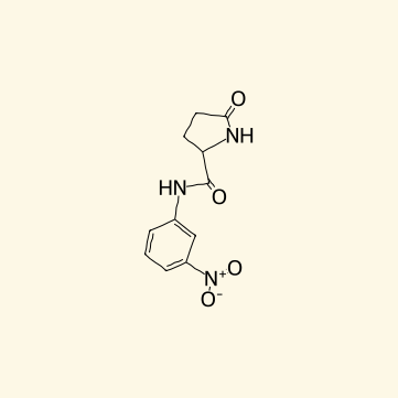 O=C1CCC(C(=O)Nc2cccc([N+](=O)[O-])c2)N1